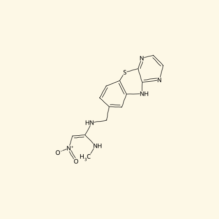 CNC(=C[N+](=O)[O-])NCc1ccc2c(c1)Nc1nccnc1S2